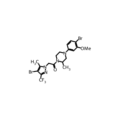 COc1cc(N2CCN(C(=O)Cn3nc(C(F)(F)F)c(Br)c3C)C(C)C2)ccc1Br